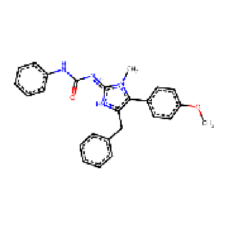 COc1ccc(-c2c(Cc3ccccc3)[nH]/c(=N\C(=O)Nc3ccccc3)n2C)cc1